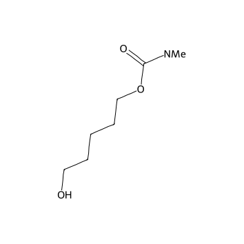 CNC(=O)OCCCCCO